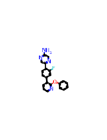 Nc1cnc(-c2ccc(-c3cccnc3Oc3ccccc3)cc2F)cn1